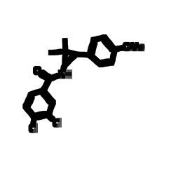 COc1ccc(C2C(NC(=O)c3ccc(Cl)c(Cl)c3)C2(C)C)cc1